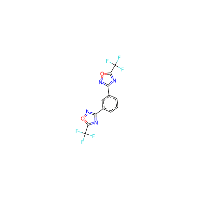 FC(F)(F)c1nc(-c2cccc(-c3noc(C(F)(F)F)n3)c2)no1